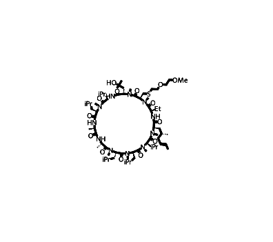 C/C=C/C[C@@H](C)C[C@@H]1C(=O)N[C@H](CC)C(=O)N(C)[C@H](CSCCOCCOC)C(=O)N(C)[C@@H](CC(C)(C)O)C(=O)N[C@H](C(C)C)C(=O)N(C)[C@H](CC(C)C)C(=O)N[C@H](C)C(=O)N[C@@H](C)C(=O)N(C)[C@@H](CC(C)C)C(=O)N(C)[C@H](CC(C)C)C(=O)N(C)[C@H](C(C)C)C(=O)N1C